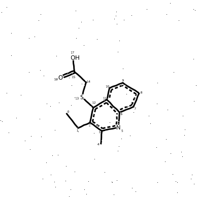 CCc1c(C)nc2ccccc2c1SCC(=O)O